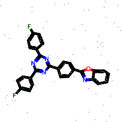 Fc1ccc(-c2nc(-c3ccc(F)cc3)nc(-c3ccc(-c4nc5ccccc5o4)cc3)n2)cc1